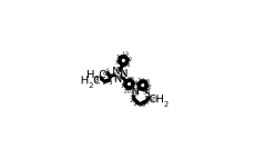 C=C/C=C\C(=C/C)c1nc(-c2ccccc2)nc(-c2ccc(N3C/C=C\C=C/C(=C)Sc4ccccc43)cc2)n1